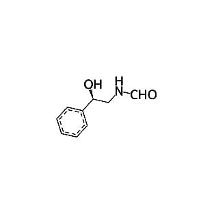 O=CNC[C@H](O)c1ccccc1